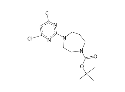 CC(C)(C)OC(=O)N1CCCN(c2nc(Cl)cc(Cl)n2)CC1